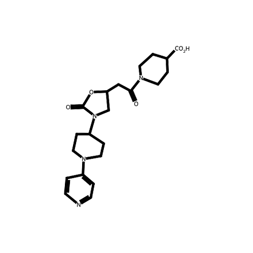 O=C(O)C1CCN(C(=O)CC2CN(C3CCN(c4ccncc4)CC3)C(=O)O2)CC1